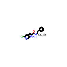 CCOC(=O)[C@H](Cc1ccccc1)NC(=O)c1cc2cc(Cl)ncc2[nH]1